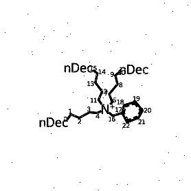 CCCCCCCCCCCCCC[N+](CCCCCCCCCCCCCC)(CCCCCCCCCCCCCC)Cc1ccccc1